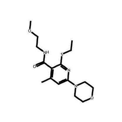 CCSc1nc(N2CCOCC2)cc(C)c1C(=O)NCCOC